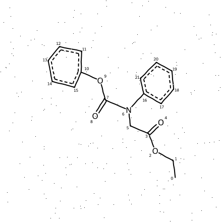 CCOC(=O)CN(C(=O)Oc1ccccc1)c1ccccc1